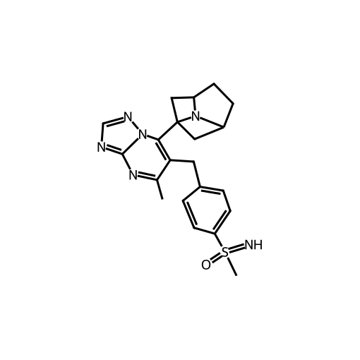 Cc1nc2ncnn2c(C23CC4CCC(C2)N43)c1Cc1ccc(S(C)(=N)=O)cc1